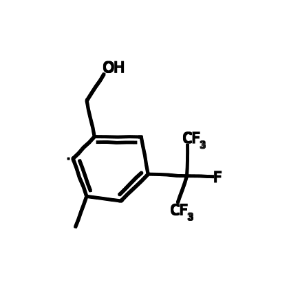 Cc1[c]c(CO)cc(C(F)(C(F)(F)F)C(F)(F)F)c1